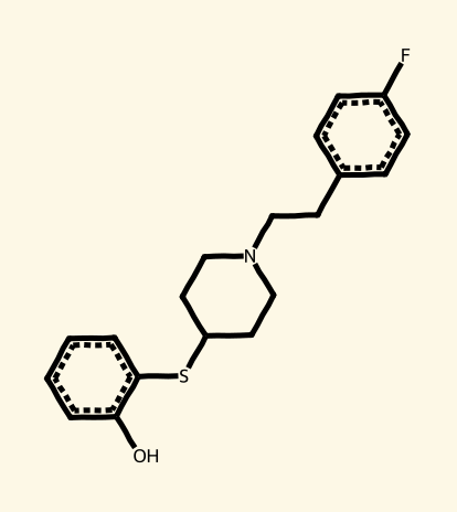 Oc1ccccc1SC1CCN(CCc2ccc(F)cc2)CC1